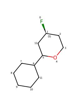 F[C@H]1CCOC(C2CCCCC2)C1